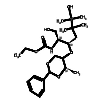 C[C@@H]1OC(c2ccccc2)OCC1O[C@@H](CC(C)(C)[Si](C)(C)O)[C@H](CO)NC(=O)OCC(Cl)(Cl)Cl